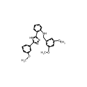 COc1cc(CNc2ccccc2-c2nnc(-c3cccc(OC)c3)[nH]2)cc(OC)c1